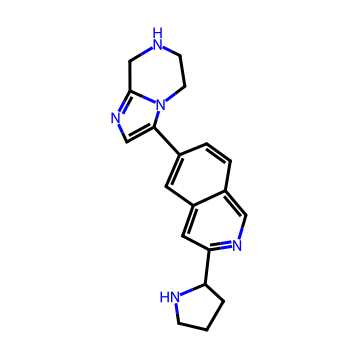 c1cc2cnc(C3CCCN3)cc2cc1-c1cnc2n1CCNC2